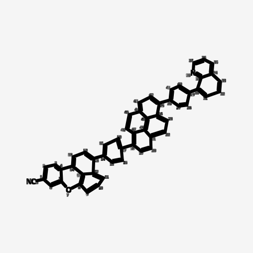 N#Cc1ccc2c(c1)Oc1cccc3c(-c4ccc(-c5ccc6ccc7c(-c8ccc(-c9cccc%10cccnc9%10)cc8)ccc8ccc5c6c87)cc4)ccc-2c13